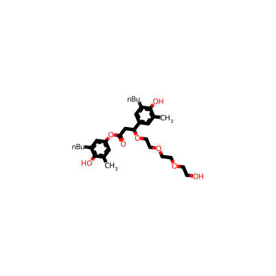 CCCCc1cc(OC(=O)CC(OCCOCCOCCO)c2cc(C)c(O)c(CCCC)c2)cc(C)c1O